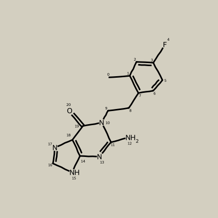 Cc1cc(F)ccc1CCn1c(N)nc2[nH]cnc2c1=O